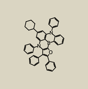 c1ccc(-c2oc3c(c2-c2ccccc2)N(c2ccccc2)c2cc(C4CCCCC4)cc4c2B3c2ccccc2N4c2ccccc2)cc1